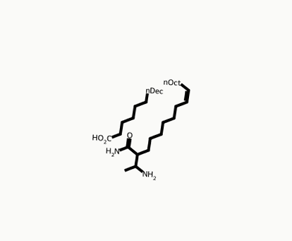 CCCCCCCC/C=C\CCCCCCC(C(N)=O)C(C)N.CCCCCCCCCCCCCCCC(=O)O